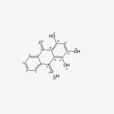 O=C1c2ccccc2C(=O)c2c(O)c(O)cc(O)c21.[LiH]